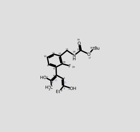 CC/C(O)=C\C(=C(/C)O)c1cccc(CNC(=O)OC(C)(C)C)c1F